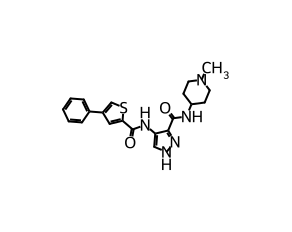 CN1CCC(NC(=O)c2n[nH]cc2NC(=O)c2cc(-c3ccccc3)cs2)CC1